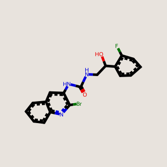 O=C(NCC(O)c1ccccc1F)Nc1cc2ccccc2nc1Br